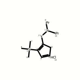 CC(C)[N]([V][C]1=C([Si](C)(C)C)C=CC1)C(C)C.Cl